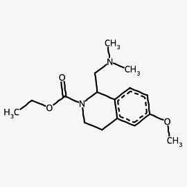 CCOC(=O)N1CCc2cc(OC)ccc2C1CN(C)C